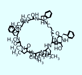 CC(C)C[C@@H]1NC(=O)[C@@H](NC(=O)[C@H](Cc2ccccc2)NC(=O)CO)CCCCNC(=O)[C@H](Cc2ccccc2)NC(=O)[C@H](C)NC(=O)[C@H](C)N(C)C(=O)[C@H](Cc2ccccc2)N(C)C(=O)[C@H](C)N2C(=O)[C@H](CC2C)N(C)C(=O)[C@H](C)N(C)C1=O